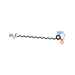 CCCCCCCCCCCCCCCCCCCCc1cc(N)cc(C(=O)F)c1